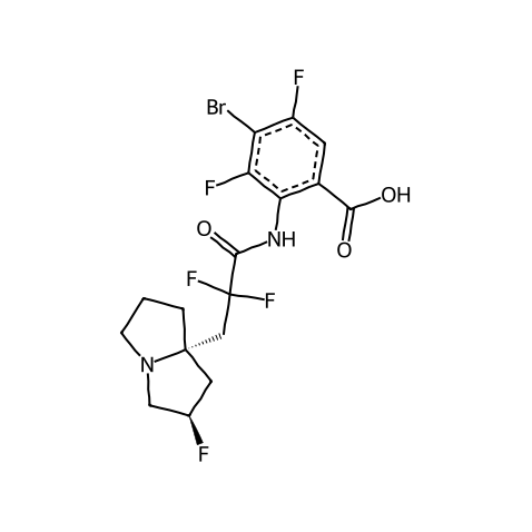 O=C(O)c1cc(F)c(Br)c(F)c1NC(=O)C(F)(F)C[C@@]12CCCN1C[C@H](F)C2